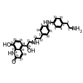 NCCc1ccc(Nc2ccc(CCNCC(O)c3ccc(O)c4[nH]c(=O)ccc34)cc2)cc1